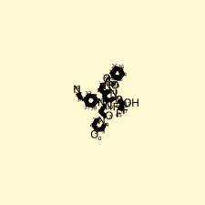 COC1CCN(C(=O)Cc2nc3cnc4c(ccn4S(=O)(=O)c4ccccc4)c3n2[C@H]2CC[C@H](CC#N)CC2)CC1.O=C(O)C(F)(F)F